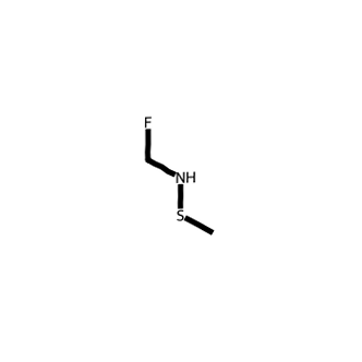 CSNCF